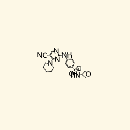 N#Cc1cnc(Nc2ccc(S(=O)(=O)NC3COC3)cc2)nc1N1CCCCC1